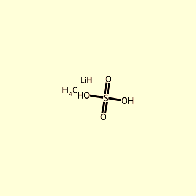 C.O=S(=O)(O)O.[LiH]